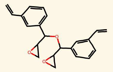 C=Cc1cccc(C(OC(c2cccc(C=C)c2)C2CO2)C2CO2)c1